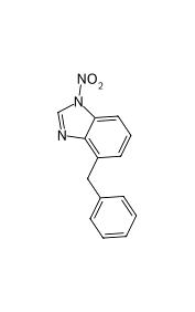 O=[N+]([O-])n1cnc2c(Cc3ccccc3)cccc21